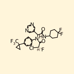 O=C(NC1CCC(F)(F)CC1)C(c1cncnc1)N(C(=O)[C@H](F)Cl)c1ccc(C2(C(F)(F)F)CC2)cc1